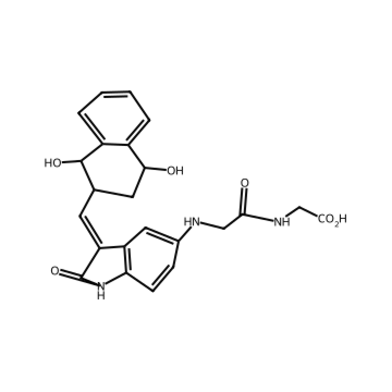 O=C(O)CNC(=O)CNc1ccc2c(c1)C(=CC1CC(O)c3ccccc3C1O)C(=O)N2